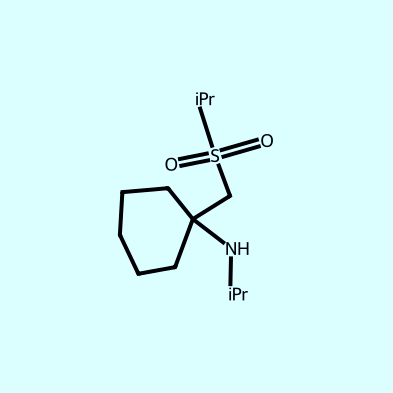 CC(C)NC1(CS(=O)(=O)C(C)C)CCCCC1